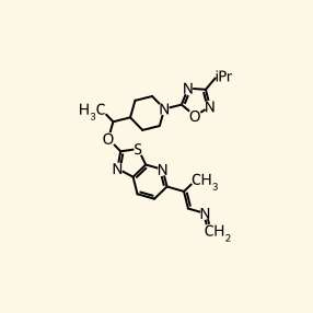 C=N/C=C(\C)c1ccc2nc(OC(C)C3CCN(c4nc(C(C)C)no4)CC3)sc2n1